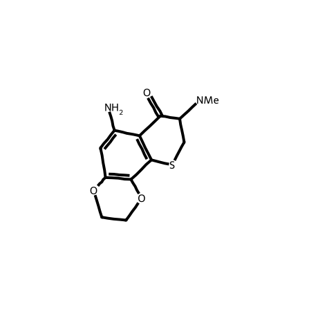 CNC1CSc2c3c(cc(N)c2C1=O)OCCO3